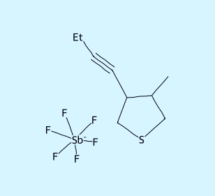 CCC#CC1CSCC1C.[F][Sb-]([F])([F])([F])([F])[F]